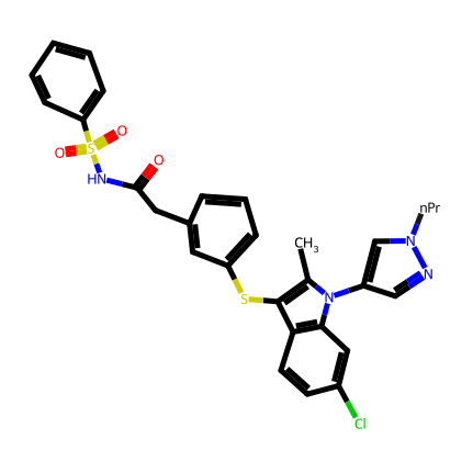 CCCn1cc(-n2c(C)c(Sc3cccc(CC(=O)NS(=O)(=O)c4ccccc4)c3)c3ccc(Cl)cc32)cn1